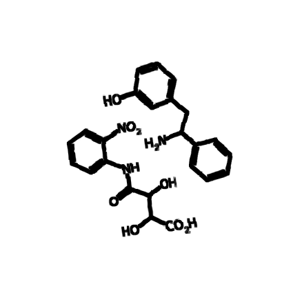 NC(Cc1cccc(O)c1)c1ccccc1.O=C(O)C(O)C(O)C(=O)Nc1ccccc1[N+](=O)[O-]